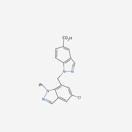 CC(C)n1ncc2cc(Cl)cc(Cn3ncc4cc(C(=O)O)ccc43)c21